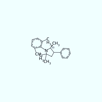 Cc1cccc(C)c1N1[C@@H](C)C(c2ccccc2)CC1(C)C